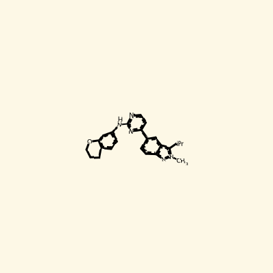 CC(C)c1c2cc(-c3ccnc(Nc4ccc5c(c4)OCCC5)n3)ccc2nn1C